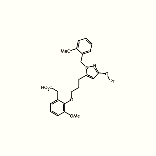 COc1ccccc1Cn1nc(OC(C)C)cc1CCCOc1c(CC(=O)O)cccc1OC